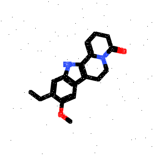 CCc1cc2[nH]c3c(c2cc1OC)CCN1C(=O)CCC=C31